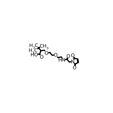 CC(C)(C)C(COCCOCCNC(=O)CN1C(=O)C=CC1=O)C(=O)O